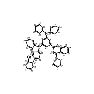 c1ccc(-c2nc(-c3cc(N(c4ccccc4)c4ccccc4)cc(-n4c5ccccc5c5c6oc7ccccc7c6ccc54)c3)nc3ccccc23)cc1